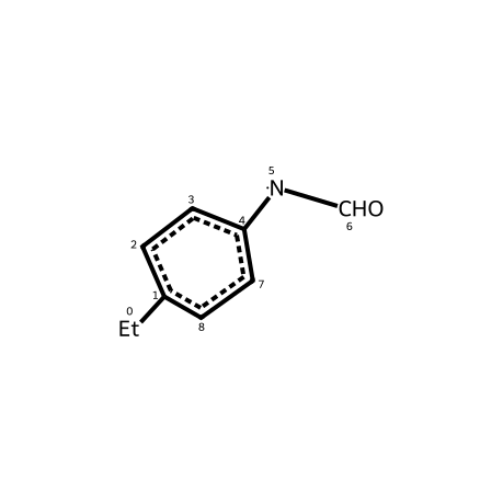 CCc1ccc([N]C=O)cc1